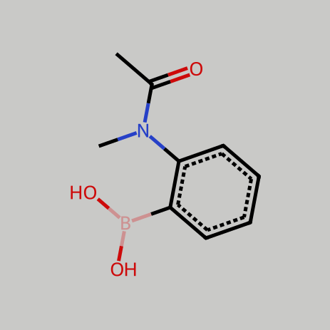 CC(=O)N(C)c1ccccc1B(O)O